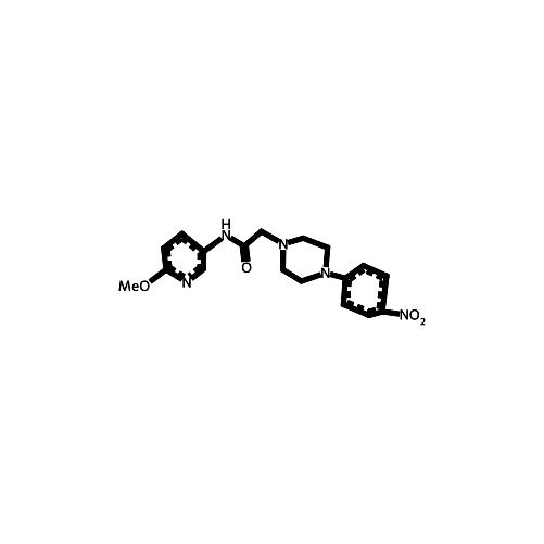 COc1ccc(NC(=O)CN2CCN(c3ccc([N+](=O)[O-])cc3)CC2)cn1